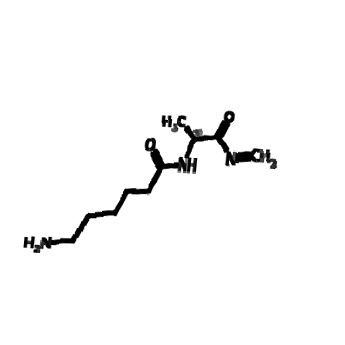 C=NC(=O)[C@H](C)NC(=O)CCCCCN